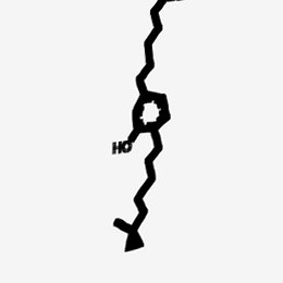 CC(C)(C)CCCCCc1ccc(CCCCCC2(C)CC2)c(O)c1